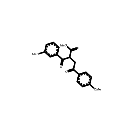 COC(=O)C(CC(=O)c1ccc(OC)cc1)C(=O)c1cccc(OC)c1